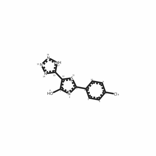 Oc1nc(-c2ccc(Cl)cc2)sc1-c1nnn[nH]1